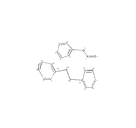 O=POc1ccccc1.c1ccc(CCc2ccccc2)cc1